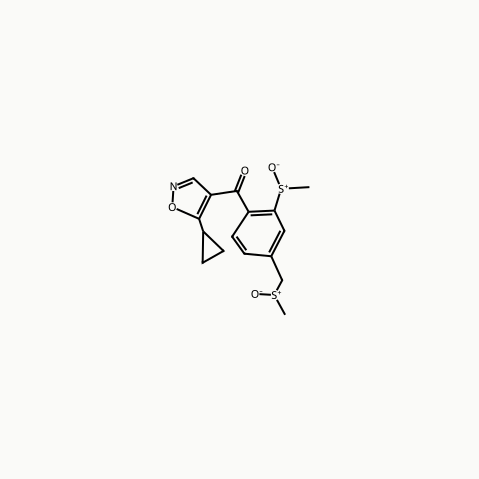 C[S+]([O-])Cc1ccc(C(=O)c2cnoc2C2CC2)c([S+](C)[O-])c1